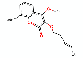 CCC=CCCOc1c(OC(C)C)c2cccc(OC)c2oc1=O